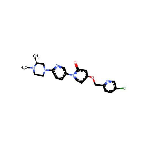 C[C@H]1CN(c2ccc(-n3ccc(OCc4ccc(Cl)cn4)cc3=O)cn2)CCN1C